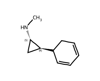 CN[C@H]1C[C@@H]1C1C=CC=CC1